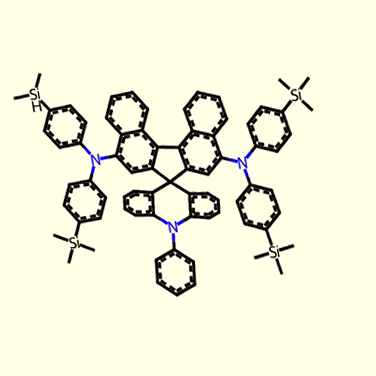 C[SiH](C)c1ccc(N(c2ccc([Si](C)(C)C)cc2)c2cc3c(c4ccccc24)-c2c(cc(N(c4ccc([Si](C)(C)C)cc4)c4ccc([Si](C)(C)C)cc4)c4ccccc24)C32c3ccccc3N(c3ccccc3)c3ccccc32)cc1